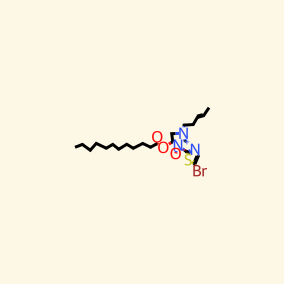 CC=CCCN1CC(OC(=O)CCCCCCCCCCC)[N+]([O-])(c2ncc(Br)s2)C1